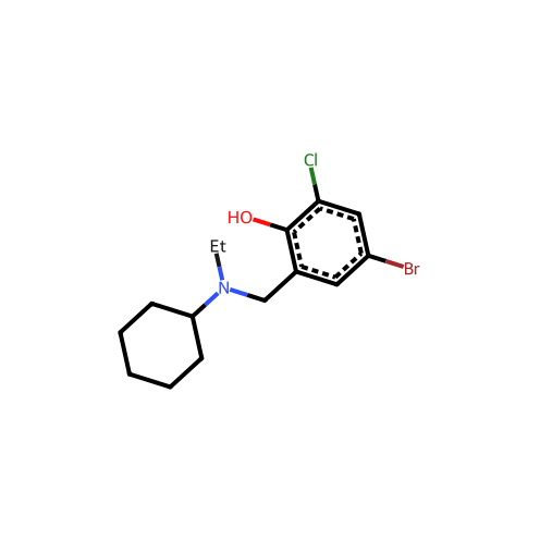 CCN(Cc1cc(Br)cc(Cl)c1O)C1CCCCC1